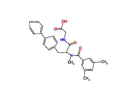 Cc1cc(C)cc(C(=O)N(C)C(Cc2ccc(-c3ccccc3)cc2)C(=O)NCC(=O)O)c1